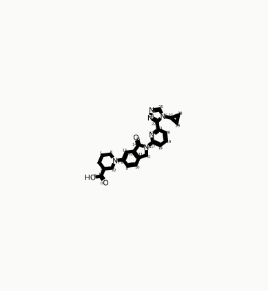 O=C(O)C1CCCN(c2ccc3c(c2)C(=O)N(c2cccc(-c4nncn4C4CC4)n2)C3)C1